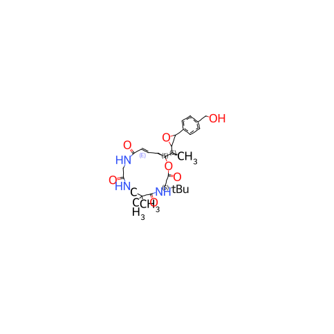 C[C@H](C1OC1c1ccc(CO)cc1)[C@@H]1C/C=C/C(=O)NCC(=O)NCC(C)(C)C(=O)N[C@@H](C(C)(C)C)C(=O)O1